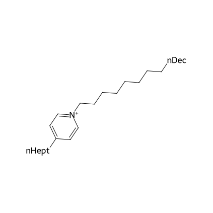 CCCCCCCCCCCCCCCCCC[n+]1ccc(CCCCCCC)cc1